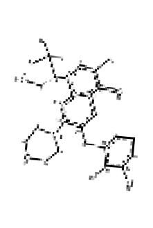 Cc1cn([C@H](CO)C(C)(C)C)c2nc(N3CCOCC3)c(Cc3cccc(Cl)c3F)cc2c1=O